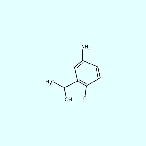 CC(O)c1cc(N)ccc1F